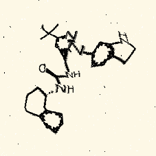 CC(C)(C)c1cc(NC(=O)N[C@H]2CCCc3ccccc32)n(-c2ccc3c(c2)NCC3)n1